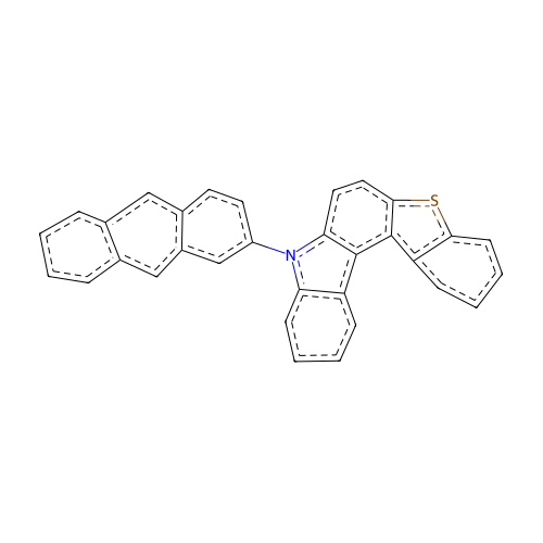 c1ccc2cc3cc(-n4c5ccccc5c5c6c(ccc54)sc4ccccc46)ccc3cc2c1